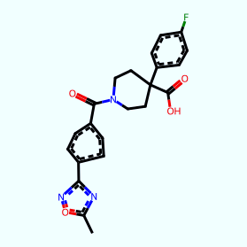 Cc1nc(-c2ccc(C(=O)N3CCC(C(=O)O)(c4ccc(F)cc4)CC3)cc2)no1